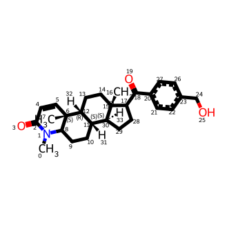 CN1C(=O)C=C[C@@]2(C)C1CC[C@@H]1[C@H]2CC[C@]2(C)C(C(=O)c3ccc(CO)cc3)CC[C@@H]12